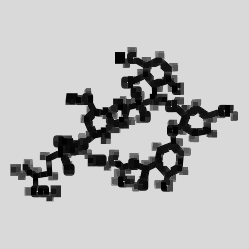 COc1cc(OC)n2nc(S(=O)(=O)Nc3c(Cl)ccc(C)c3Cl)nc2n1.CP(=O)(O)CCC(N)C(=O)O.C[C@H](OC(=O)c1cc(Oc2ccc(C(F)(F)F)cc2Cl)ccc1Cl)C(=O)O